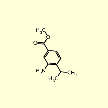 COC(=O)c1ccc(C(C)C)c(N)c1